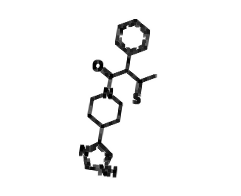 CC(=S)C(C(=O)N1CCC(c2c[nH]cn2)CC1)c1ccccc1